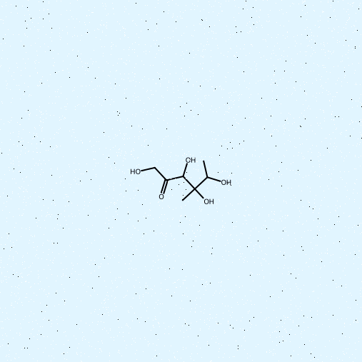 CC(O)C(C)(O)C(O)C(=O)CO